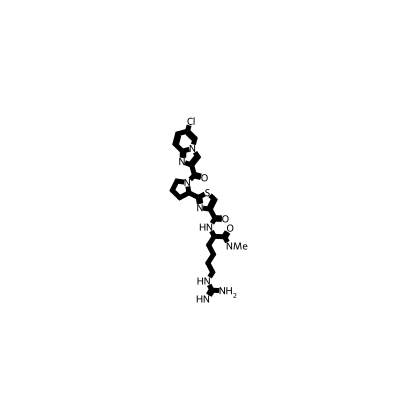 CNC(=O)C(CCCCNC(=N)N)NC(=O)c1csc(C2CCCN2C(=O)c2cn3cc(Cl)ccc3n2)n1